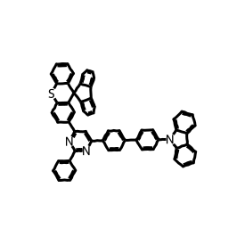 c1ccc(-c2nc(-c3ccc(-c4ccc(-n5c6ccccc6c6ccccc65)cc4)cc3)cc(-c3ccc4c(c3)C3(c5ccccc5S4)c4ccccc4-c4ccccc43)n2)cc1